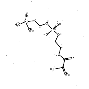 C=C(C)C(=O)OCCOP(=O)([O-])OCC[N+](C)(C)CC